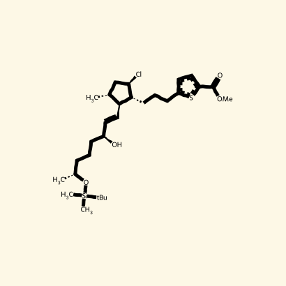 COC(=O)c1ccc(CCC[C@@H]2[C@@H](/C=C/[C@@H](O)CCC[C@@H](C)O[Si](C)(C)C(C)(C)C)[C@H](C)C[C@H]2Cl)s1